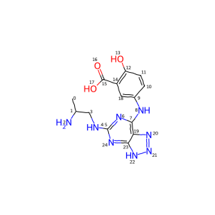 CC(N)CNc1nc(Nc2ccc(O)c(C(=O)O)c2)c2nn[nH]c2n1